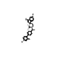 C[C@@H](c1ccc(-c2ccc(F)cc2F)cc1)N1CCC(CC=O)(c2ccc(F)cc2)OC1=O